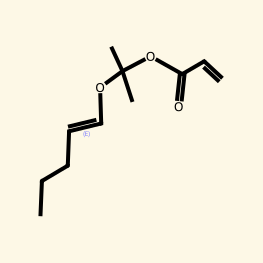 C=CC(=O)OC(C)(C)O/C=C/CCC